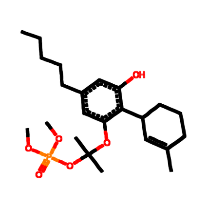 CCCCCc1cc(O)c(C2C=C(C)CCC2)c(OC(C)(C)OP(=O)(OC)OC)c1